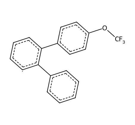 FC(F)(F)Oc1ccc(-c2ccc[c]c2-c2ccccc2)cc1